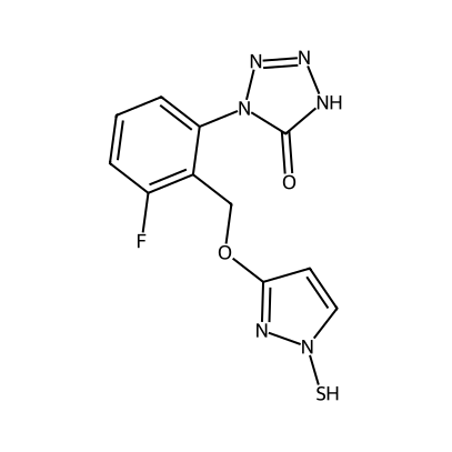 O=c1[nH]nnn1-c1cccc(F)c1COc1ccn(S)n1